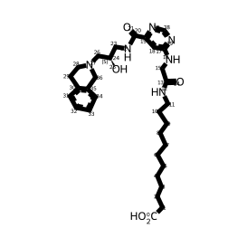 O=C(O)CCCCCCCCCCCNC(=O)CNc1cc(C(=O)NC[C@H](O)CN2CCc3ccccc3C2)ncn1